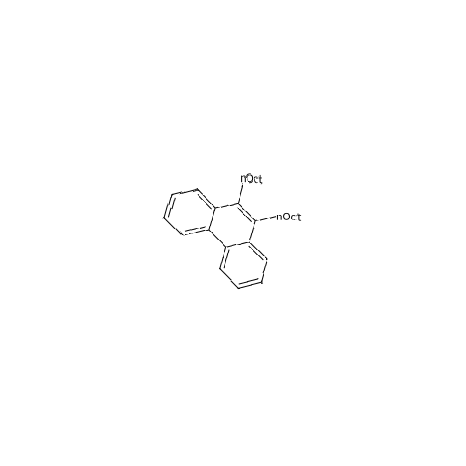 CCCCCCCCc1c(CCCCCCCC)c2ccccc2c2ccccc12